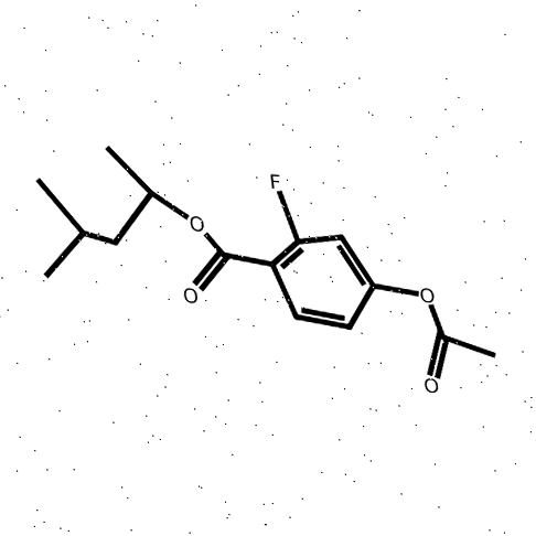 CC(=O)Oc1ccc(C(=O)OC(C)CC(C)C)c(F)c1